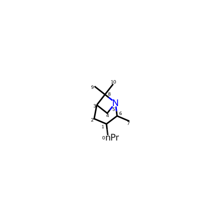 CCCC1CC2CN(C1C)C2(C)C